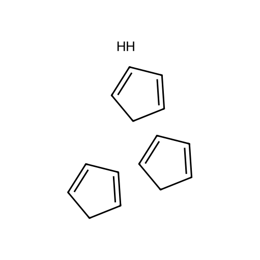 C1=CCC=C1.C1=CCC=C1.C1=CCC=C1.[HH]